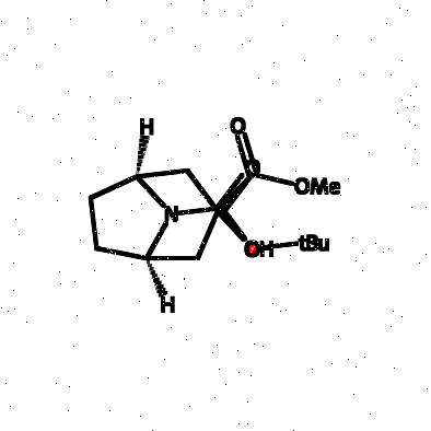 COC(=O)C1(O)C[C@H]2CC[C@@H](C1)N2C(=O)OC(C)(C)C